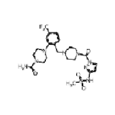 CS(=O)(=O)Nc1ccn(C(=O)N2CCN(Cc3ccc(C(F)(F)F)cc3N3CCN(C(N)=O)CC3)CC2)n1